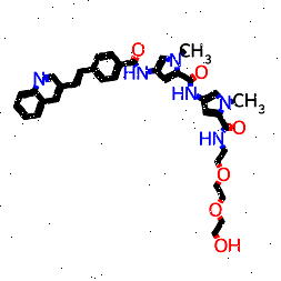 Cn1cc(NC(=O)c2cc(NC(=O)c3ccc(/C=C/c4cnc5ccccc5c4)cc3)cn2C)cc1C(=O)NCCOCCOCCO